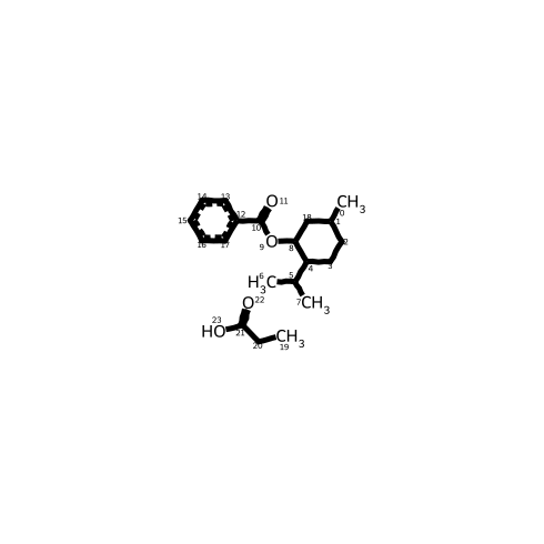 CC1CCC(C(C)C)C(OC(=O)c2ccccc2)C1.CCC(=O)O